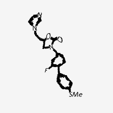 CSc1ccc(-c2ccc(N3CC(Cn4ccnc4)OC3=O)cc2F)cc1